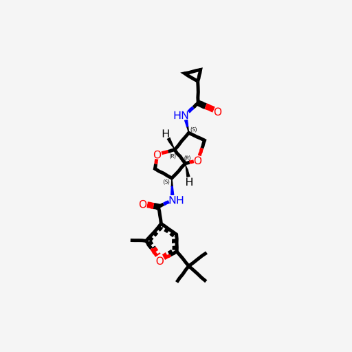 Cc1oc(C(C)(C)C)cc1C(=O)N[C@H]1CO[C@H]2[C@@H]1OC[C@@H]2NC(=O)C1CC1